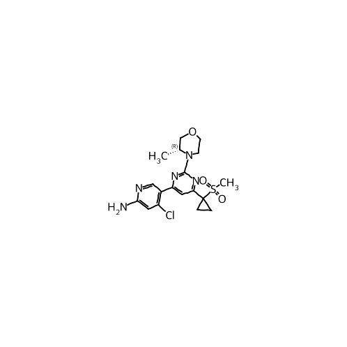 C[C@@H]1COCCN1c1nc(-c2cnc(N)cc2Cl)cc(C2(S(C)(=O)=O)CC2)n1